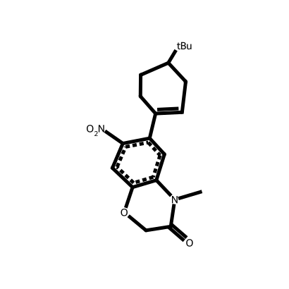 CN1C(=O)COc2cc([N+](=O)[O-])c(C3=CCC(C(C)(C)C)CC3)cc21